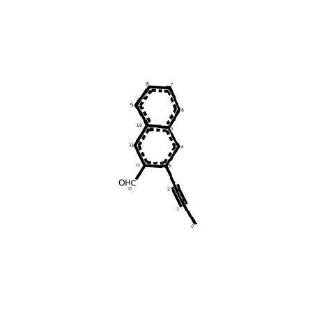 CC#Cc1cc2ccccc2cc1C=O